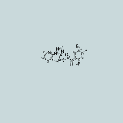 Cc1cc(F)c(NC(=O)NC(C)c2ncnn2-c2ncccn2)cc1F